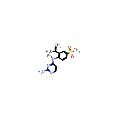 C=C(C)c1cc(S(C)(=O)=O)ccc1N(CC)c1ccnc(N)n1